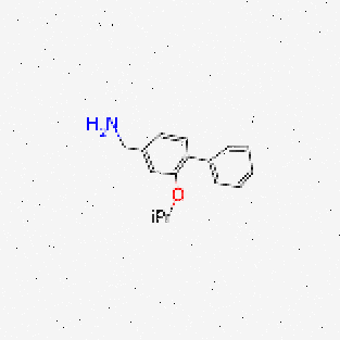 CC(C)Oc1cc(CN)ccc1-c1ccccc1